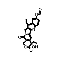 CCc1c2c(nc3ccc(OC=O)cc13)-c1cc3c(c(=O)n1C2)COC(=O)[C@]3(O)CC